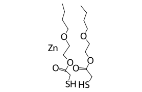 CCCCOCCOC(=O)CS.CCCCOCCOC(=O)CS.[Zn]